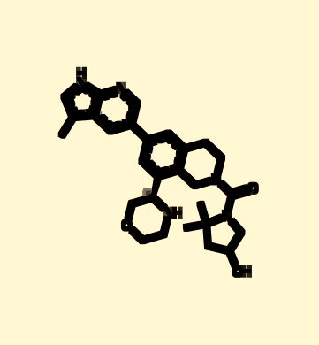 Cc1c[nH]c2ncc(-c3cc4c(c([C@@H]5COCCN5)c3)CN(C(=O)N3CC(O)CC3(C)C)CC4)cc12